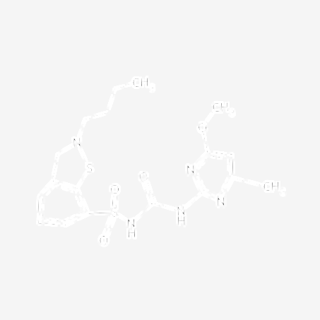 CCCCN1Cc2cccc(S(=O)(=O)NC(=O)Nc3nc(C)cc(OC)n3)c2S1